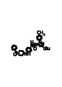 Cc1ccc(-n2nc(C(C)(C)C)cc2NC(=O)Nc2ccc(NC3CCN(C(=O)c4ccccc4)CC3)cc2)cc1